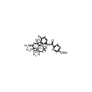 COc1cnc(C(=O)Nc2ccc(F)c([C@@]3(C)N=C(N)C(C)(C)[SH]4(=O)NCC(F)(F)C[C@H]34)n2)cn1